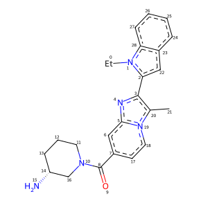 CCn1c(-c2nc3cc(C(=O)N4CCC[C@@H](N)C4)ccn3c2C)cc2ccccc21